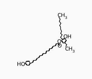 CCCCCCCCCCCCc1c(O)cc(CCC)cc1OC(=O)/C=C/C=C/C=C/C=C/C=C/C=C/C=C/C=C/c1ccc(O)cc1